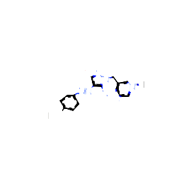 Cc1ccc(N=Nc2cnn(Cc3ccc[n+](C)c3)c2N)cc1.[Br-]